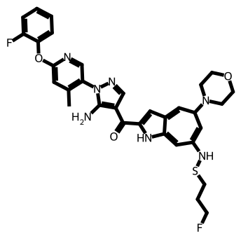 Cc1cc(Oc2ccccc2F)ncc1-n1ncc(C(=O)c2cc3c([nH]2)=CC(NSCCCF)=CC(N2CCOCC2)C=3)c1N